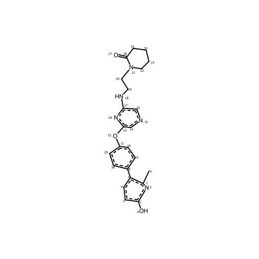 Cc1nc(O)ccc1-c1ccc(Oc2cncc(NCCN3CCCCC3=O)n2)cc1